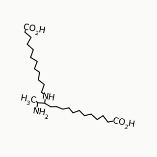 CC(N)C(CCCCCCCCCCCC(=O)O)NCCCCCCCCCCCC(=O)O